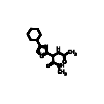 CNC(=O)C(NC(C)=O)c1nc(C2CCCCC2)co1